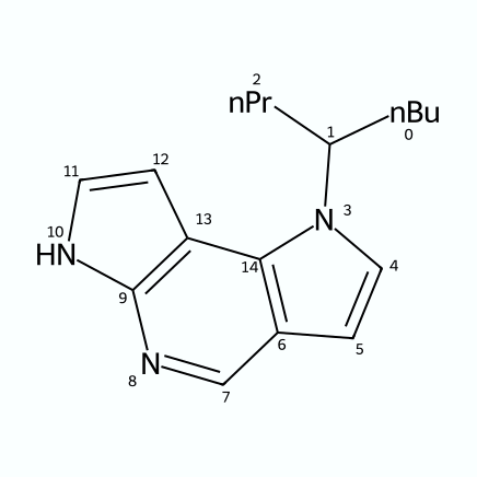 CCCCC(CCC)n1ccc2cnc3[nH]ccc3c21